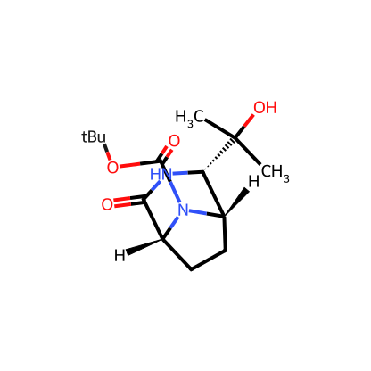 CC(C)(C)OC(=O)N1[C@@H]2CC[C@H]1[C@@H](C(C)(C)O)NC2=O